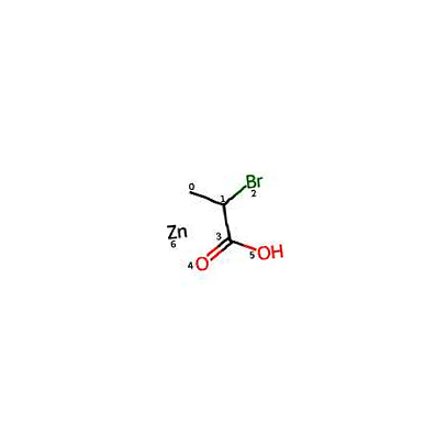 CC(Br)C(=O)O.[Zn]